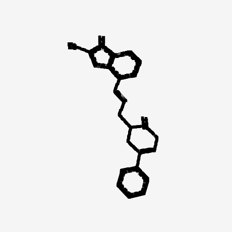 CCc1cc2c(C=CCC3CC(c4ccccc4)=CCN3)cccc2[nH]1